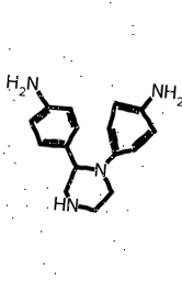 Nc1ccc(C2CNCCN2c2ccc(N)cc2)cc1